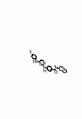 CN(C(=O)c1ccc(Nc2nccc(Nc3ccc(F)cc3)n2)cc1)C1CCN2CCCC2C1